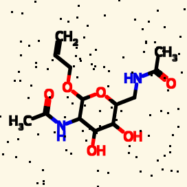 C=CCOC1OC(CNC(C)=O)C(O)C(O)C1NC(C)=O